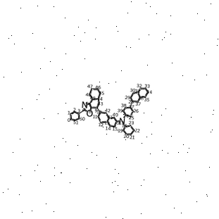 c1ccc(-c2nc3c(o2)c(-c2ccc4ccc(N(c5ccccc5)c5ccc(-c6ccc7ccccc7c6)cc5)cc4c2)cc2ccccc23)cc1